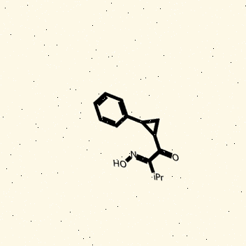 CC(C)C(=NO)C(=O)C1CC1c1ccccc1